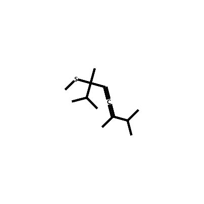 CSC(C)(C=C=C(C)C(C)C)C(C)C